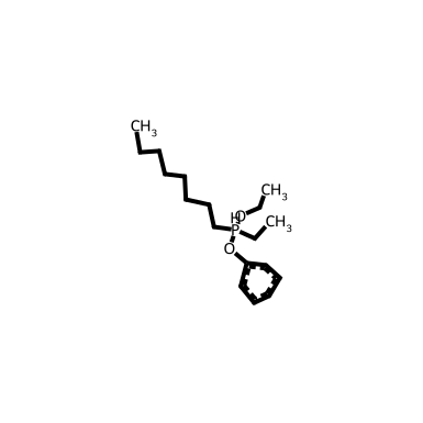 CCCCCCCC[PH](CC)(OCC)Oc1ccccc1